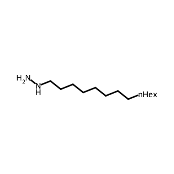 CCCCCCCCCCCCCCNN